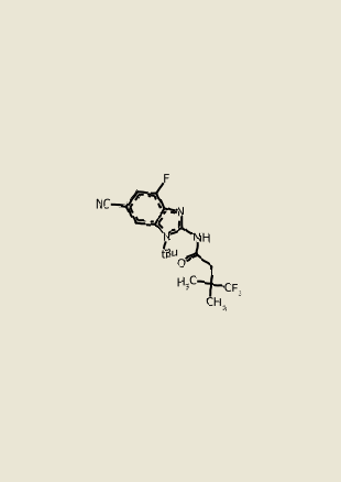 CC(C)(C)n1c(NC(=O)CC(C)(C)C(F)(F)F)nc2c(F)cc(C#N)cc21